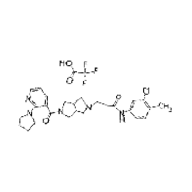 Cc1ccc(NC(=O)CCN2CC3CN(C(=O)c4cccnc4N4CCCC4)CC3C2)cc1Cl.O=C(O)C(F)(F)F